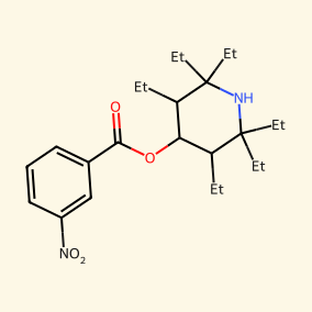 CCC1C(OC(=O)c2cccc([N+](=O)[O-])c2)C(CC)C(CC)(CC)NC1(CC)CC